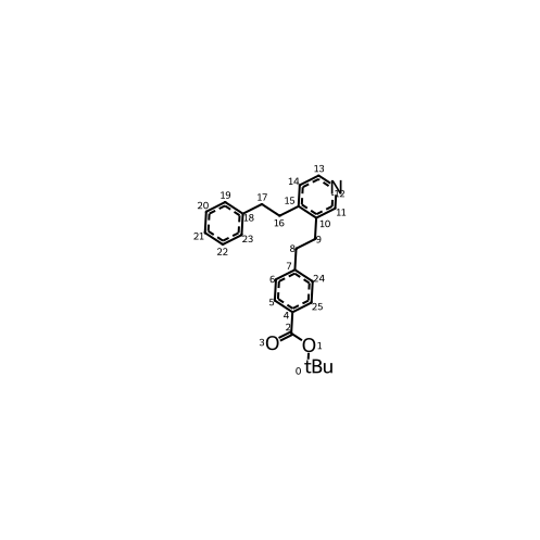 CC(C)(C)OC(=O)c1ccc(CCc2cnccc2CCc2ccccc2)cc1